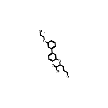 NCCOc1cccc(-c2cccc(OC(C=CC=O)C(=O)O)c2)c1